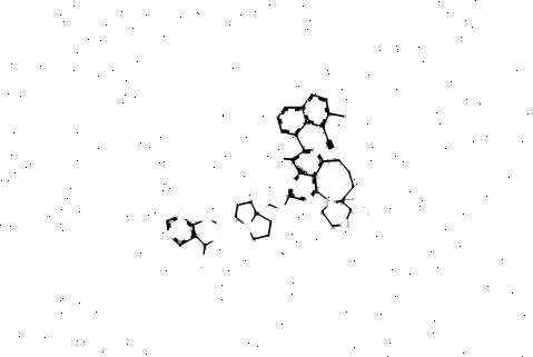 C#Cc1c(F)ccc2cccc(-c3nc4c5c(nc(OC[C@@]67CCCN6[C@H](COc6ncncc6C(F)F)CC7)nc5c3F)N3CCN[C@@H](CC)[C@H]3CCC4)c12